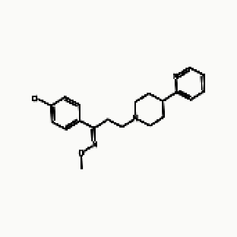 CON=C(CCN1CCC(c2ccccn2)CC1)c1ccc(Cl)cc1